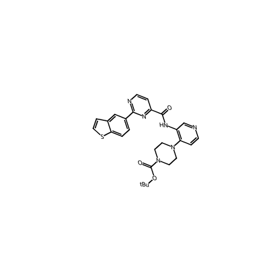 CC(C)(C)OC(=O)N1CCN(c2ccncc2NC(=O)c2ccnc(-c3ccc4sccc4c3)n2)CC1